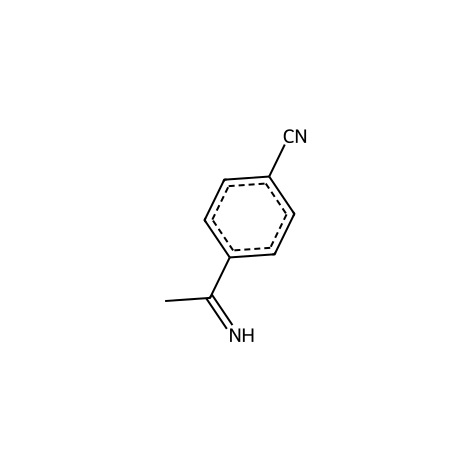 CC(=N)c1ccc(C#N)cc1